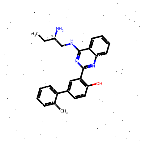 CC[C@@H](N)CNc1nc(-c2cc(-c3ccccc3C)ccc2O)nc2ccccc12